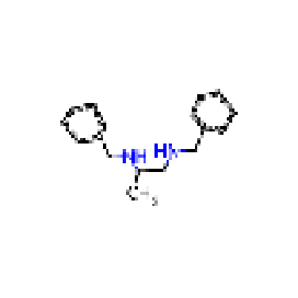 CC(CNCc1ccccc1)NCc1ccccc1